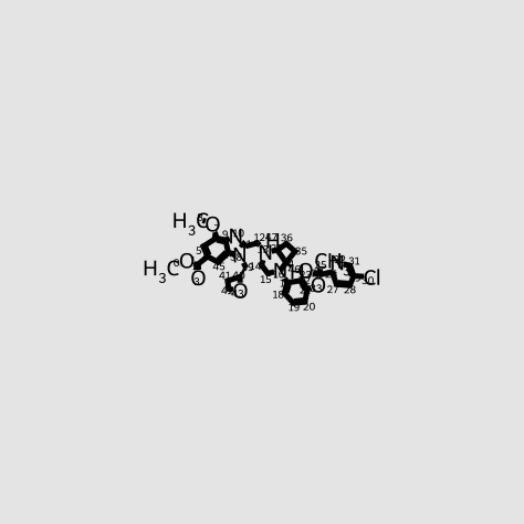 COC(=O)c1cc(OC)c2nc(CN3CCN(c4cccc5c4OC(C)(c4ccc(Cl)cn4)O5)[C@H]4CC[C@H]43)n(C[C@@H]3CCO3)c2c1